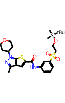 Cc1nn(C2CCOCC2)c2sc(C(=O)Nc3cccc(S(=O)(=O)CCO[Si](C)(C)C(C)(C)C)c3)cc12